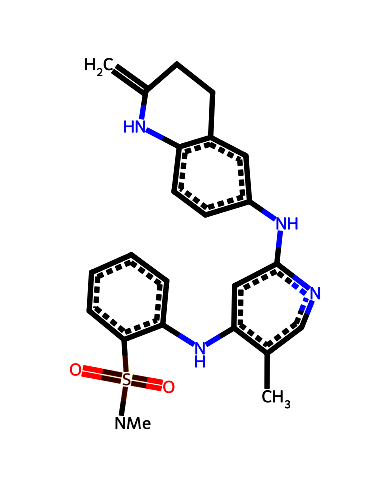 C=C1CCc2cc(Nc3cc(Nc4ccccc4S(=O)(=O)NC)c(C)cn3)ccc2N1